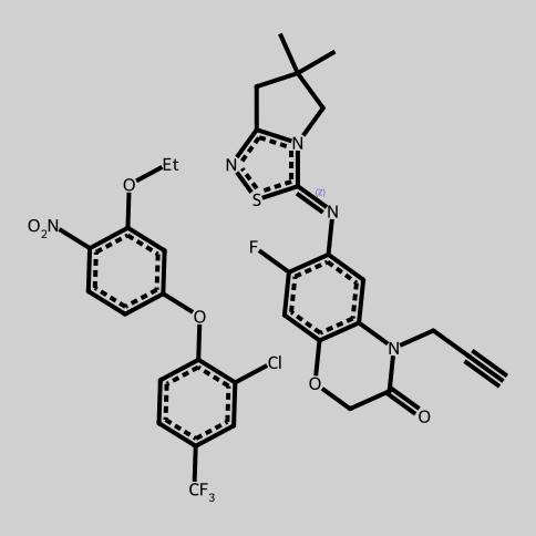 C#CCN1C(=O)COc2cc(F)c(/N=c3\snc4n3CC(C)(C)C4)cc21.CCOc1cc(Oc2ccc(C(F)(F)F)cc2Cl)ccc1[N+](=O)[O-]